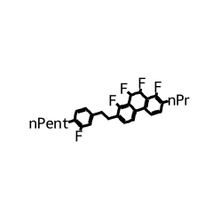 CCCCCc1ccc(CCc2ccc3c(c2F)C(F)C(F)c2c-3ccc(CCC)c2F)cc1F